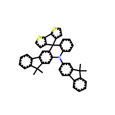 CC1(C)c2ccccc2-c2ccc(N3c4ccccc4C4(c5cc6c(cc53)C(C)(C)c3ccccc3-6)c3ccsc3-c3sccc34)cc21